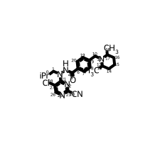 CC(C)CN(NC(=O)c1ccc(CN2C(C)CCCC2C)cc1)c1nc(C#N)ncc1Cl